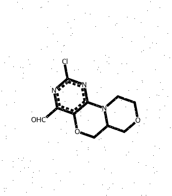 O=Cc1nc(Cl)nc2c1OCC1COCCN21